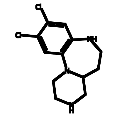 Clc1cc2c(cc1Cl)N1CCNCC1CCN2